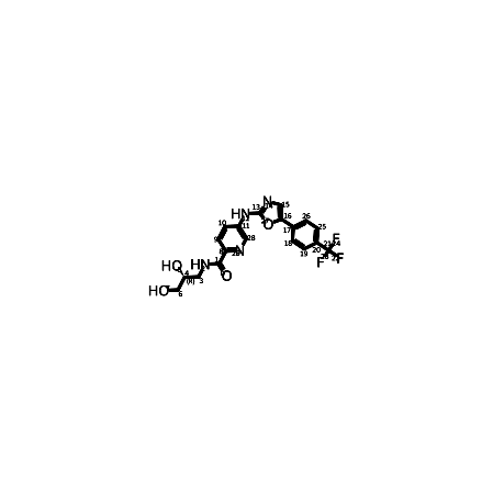 O=C(NC[C@@H](O)CO)c1ccc(Nc2ncc(-c3ccc(C(F)(F)F)cc3)o2)cn1